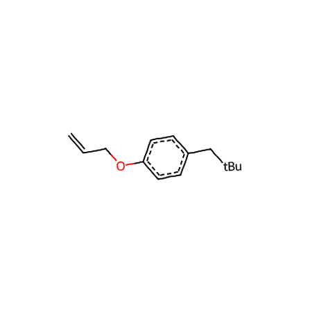 C=CCOc1ccc(CC(C)(C)C)cc1